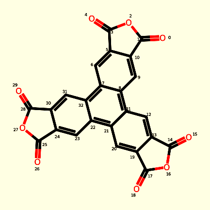 O=c1oc(=O)c2cc3c(cc12)c1cc2c(=O)oc(=O)c2cc1c1cc2c(=O)oc(=O)c2cc31